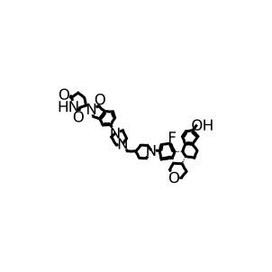 O=C1CC[C@@H](N2Cc3cc(N4CCN(CC5CCN(c6ccc([C@@H]7c8ccc(O)cc8CC[C@@H]7C7CCOCC7)c(F)c6)CC5)CC4)ccc3C2=O)C(=O)N1